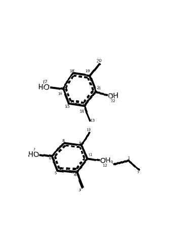 CCC.Cc1cc(O)cc(C)c1O.Cc1cc(O)cc(C)c1O